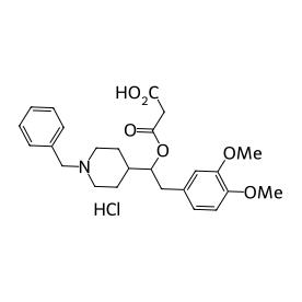 COc1ccc(CC(OC(=O)CC(=O)O)C2CCN(Cc3ccccc3)CC2)cc1OC.Cl